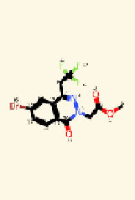 COC(=O)Cn1nc(CC(F)(F)F)c2cc(Br)ccc2c1=O